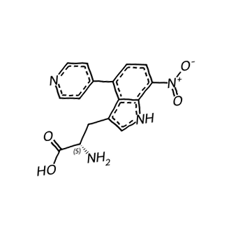 N[C@@H](Cc1c[nH]c2c([N+](=O)[O-])ccc(-c3ccncc3)c12)C(=O)O